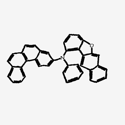 c1ccc(N(c2ccc3c(ccc4ccc5ccccc5c43)c2)c2cccc3oc4cc5ccccc5cc4c23)cc1